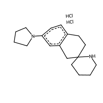 Cl.Cl.c1cc2c(cc1N1CCCC1)CC1(CCCCN1)CC2